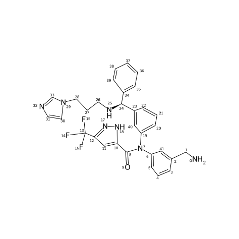 NCc1cccc(N(C(=O)c2cc(C(F)(F)F)n[nH]2)c2cccc([C@@H](NCCCn3ccnc3)c3ccccc3)c2)c1